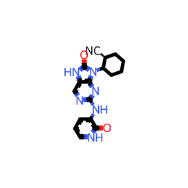 N#C[C@H]1CCCCC1n1c(=O)[nH]c2cnc(Nc3ccc[nH]c3=O)nc21